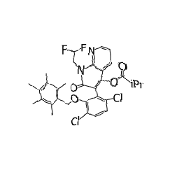 Cc1c(C)c(C)c(COc2c(Cl)ccc(Cl)c2-c2c(OC(=O)C(C)C)c3cccnc3n(CC(F)F)c2=O)c(C)c1C